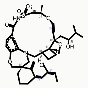 C=C1/C(=C\C(Cl)=C/C)CCC[C@]12COc1ccc3cc1N(C[C@@H]1CC[C@H]1[C@@](C[C@H](O)C(C)C)(OC)/C=C/C[C@H](C)[C@@H](C)S(=O)(=O)NC3=O)C2